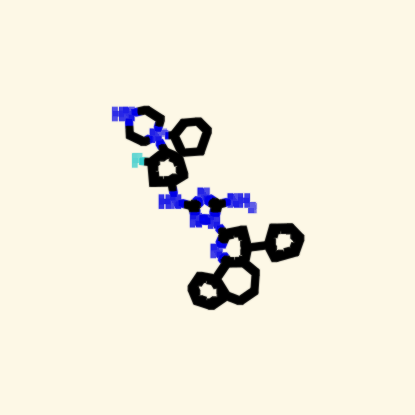 Nc1nc(Nc2ccc([N+]3(C4CCCCC4)CCNCC3)c(F)c2)nn1-c1cc(-c2ccccc2)c2c(n1)-c1ccccc1CCC2